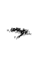 CC(=O)OC(C)C(=O)OC(C)C(=O)OCC(C)(COC(=O)C(C)(C)CC(Br)c1ccc([Si](C)(C)C)cc1)C(=O)OCCCCCCCCC(F)(F)F